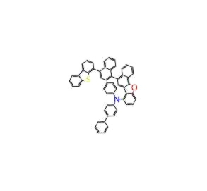 c1ccc(-c2ccc(N(c3ccccc3)c3cccc4oc5c6ccccc6c(-c6ccc(-c7cccc8c7sc7ccccc78)c7ccccc67)cc5c34)cc2)cc1